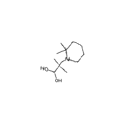 CC1(C)CCCCN1C(C)(C)C(O)O